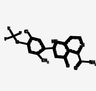 Cc1cc(OC(F)(F)F)c(Cl)cc1-c1cc(=O)c2c(C(N)=O)nccc2[nH]1